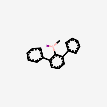 CB(I)c1c(-c2ccccc2)cccc1-c1ccccc1